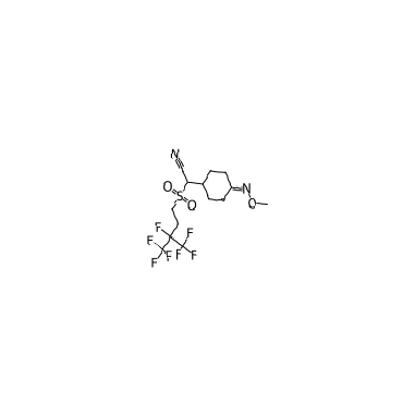 CON=C1CCC(C(C#N)S(=O)(=O)CCC(F)(C(F)(F)F)C(F)(F)F)CC1